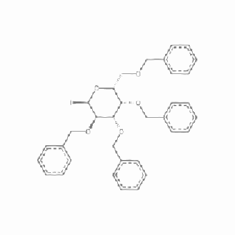 I[C@H]1O[C@H](COCc2ccccc2)[C@H](OCc2ccccc2)[C@H](OCc2ccccc2)[C@H]1OCc1ccccc1